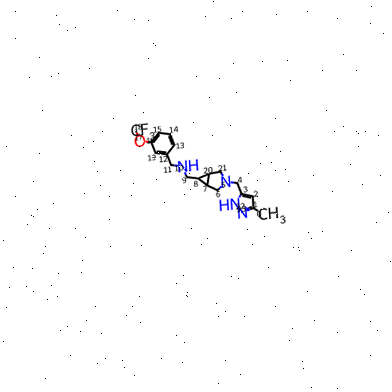 Cc1cc(CN2CC3C(CNCc4cccc(OC(F)(F)F)c4)C3C2)[nH]n1